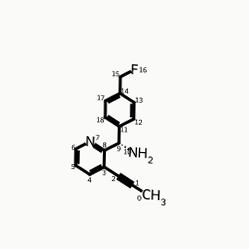 CC#Cc1cccnc1[C@@H](N)c1ccc(CF)cc1